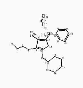 CCCCC1=C(CC2CCCCC2)CC([SiH2]c2ccccc2)=[C]1[Ti+3].[Cl-].[Cl-].[Cl-]